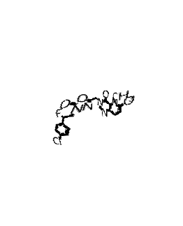 Cn1c(=O)ccc2ncn(Cc3nn(CC(F)c4ccc(Cl)cc4)c(=O)o3)c(=O)c21